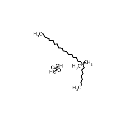 CCCCCCCCCCCCCCCCCC[N+](C)(C)CCCCCCCC.O=S(=O)(O)O